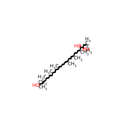 CC(C)=CC(O)C(O)/C(C)=C/C=C/C(C)=C/C=C/C(C)=C/C=C/C=C(C)/C=C/C=C(C)/C=C/C=C(\C)CCCC(C)(C)O